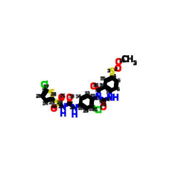 COOSc1ccc2[nH]c(=O)n(-c3ccc(NC(=O)NS(=O)(=O)c4ccc(Cl)s4)cc3Cl)c(=O)c2c1